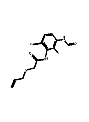 C=CCSCC(=O)Nc1c(F)ccc(NC=O)c1F